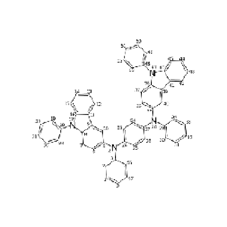 C1=CCC(N(C2=CCC3C(=C2)c2ccccc2N3c2ccccc2)c2ccc(N(c3ccccc3)c3ccc4c(c3)c3ccccc3n4-c3ccccc3)cc2)C=C1